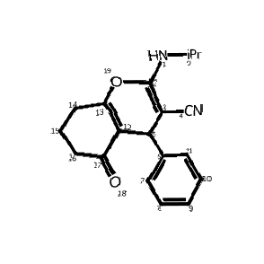 CC(C)NC1=C(C#N)C(c2ccccc2)C2=C(CCCC2=O)O1